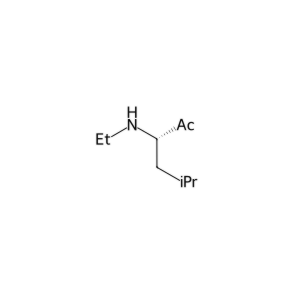 CCN[C@@H](CC(C)C)C(C)=O